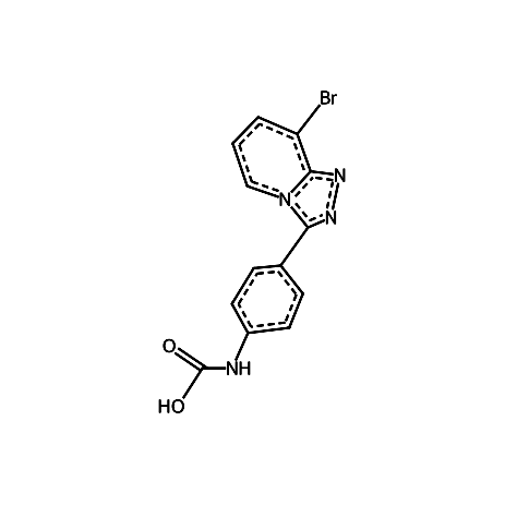 O=C(O)Nc1ccc(-c2nnc3c(Br)cccn23)cc1